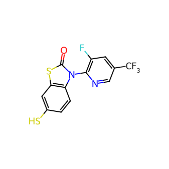 O=c1sc2cc(S)ccc2n1-c1ncc(C(F)(F)F)cc1F